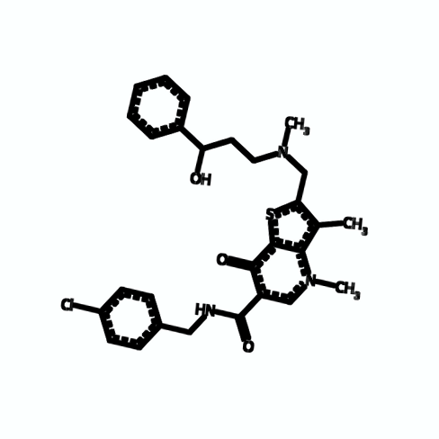 Cc1c(CN(C)CCC(O)c2ccccc2)sc2c(=O)c(C(=O)NCc3ccc(Cl)cc3)cn(C)c12